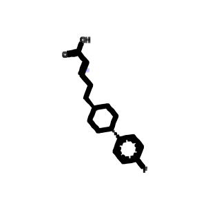 O=C(O)/C=C/CC[C@H]1CC[C@H](c2ccc(F)cc2)CC1